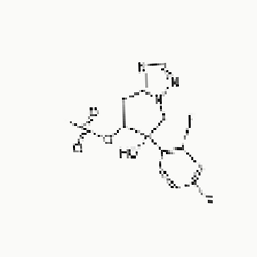 CS(=O)(=O)OC1Cc2ncnn2CC1(O)c1ccc(F)cc1F